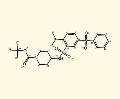 CC(C)c1ccc(S(=O)(=O)c2ccccc2)cc1S(=O)(=O)NC1CCN(C(=O)OC(C)(C)C)CC1